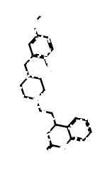 CC(C)Oc1ccc(Br)c(CC2CCN(CCC3CC(=O)Nc4ccccc43)CC2)c1